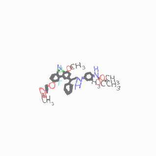 COCCOc1ccc(C#N)c(-c2cc(C(CNC3CCC(NC(=O)OC(C)(C)C)CC3)c3ccccc3)cc(OC)c2Cl)c1F